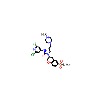 CNS(=O)(=O)c1ccc2c(c1)CC(N(CCCN1CCN(C)CC1)C(=O)Nc1cc(Cl)nc(Cl)c1)CO2